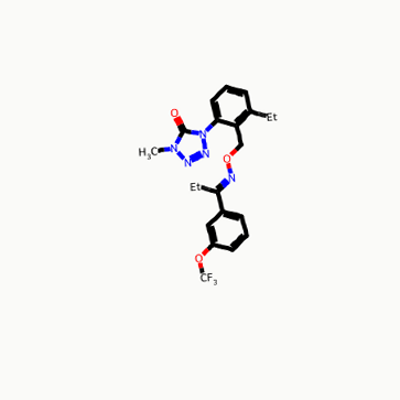 CCC(=NOCc1c(CC)cccc1-n1nnn(C)c1=O)c1cccc(OC(F)(F)F)c1